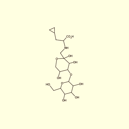 O=C(O)C(CC1CC1)NCC1(O)OCC(O)C(OC2OC(CO)C(O)C(O)C2O)C1O